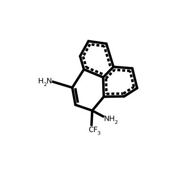 NC1=CC(N)(C(F)(F)F)c2cccc3cccc1c23